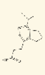 CC(C)c1ccc(CCC(=O)O)c2c1CCC2